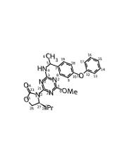 COc1nc(NC(C)c2ccc(Oc3ccccc3)cc2)nc(N2C(=O)OC[C@@H]2C(C)C)n1